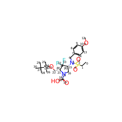 CCS(=O)(=O)N(Cc1ccc(OC)cc1)[C@@H]1CN(C(=O)O)[C@H](CO[Si](C)(C)C(C)(C)C)C1(F)F